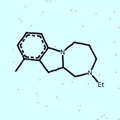 CCN1CCCN2c3cccc(C)c3CC2C1